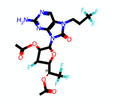 CC(=O)OC1C(F)C([C@@H](OC(C)=O)C(F)(F)F)OC1n1c(=O)n(CCC(F)(F)F)c2cnc(N)nc21